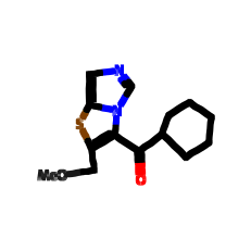 COCc1sc2cncn2c1C(=O)C1CCCCC1